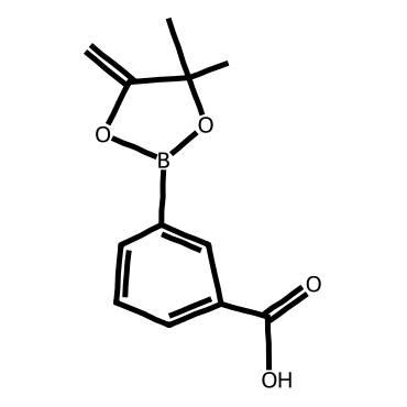 C=C1OB(c2cccc(C(=O)O)c2)OC1(C)C